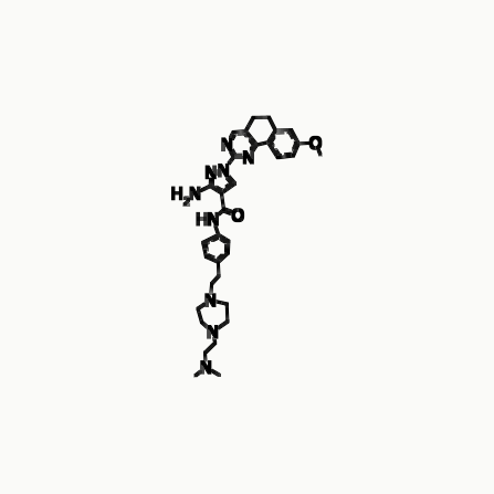 COc1ccc2c(c1)CCc1cnc(-n3cc(C(=O)Nc4ccc(CCN5CCN(CCN(C)C)CC5)cc4)c(N)n3)nc1-2